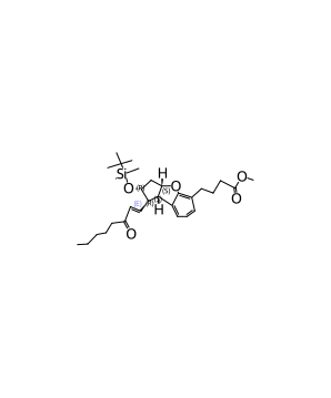 CCCCCC(=O)/C=C/[C@@H]1[C@H]2c3cccc(CCCC(=O)OC)c3O[C@H]2C[C@H]1O[Si](C)(C)C(C)(C)C